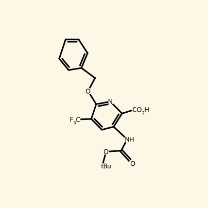 CC(C)(C)OC(=O)Nc1cc(C(F)(F)F)c(OCc2ccccc2)nc1C(=O)O